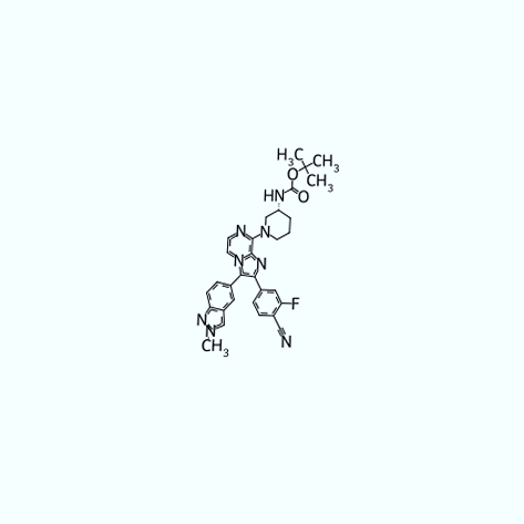 Cn1cc2cc(-c3c(-c4ccc(C#N)c(F)c4)nc4c(N5CCC[C@@H](NC(=O)OC(C)(C)C)C5)nccn34)ccc2n1